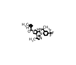 Cc1cnc2nc(NC(C)c3cccc(C(F)(F)F)c3)c3c(n12)CN(C(=O)C12CC(C1)[C@@H]2C)C3